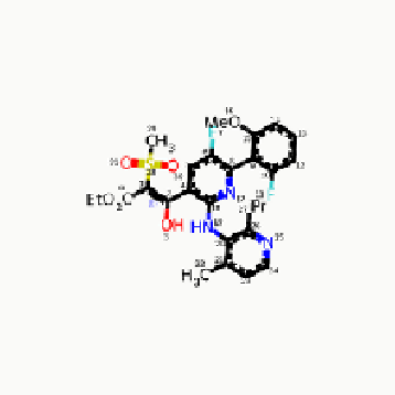 CCOC(=O)/C(=C(\O)c1cc(F)c(-c2c(F)cccc2OC)nc1Nc1c(C)ccnc1C(C)C)S(C)(=O)=O